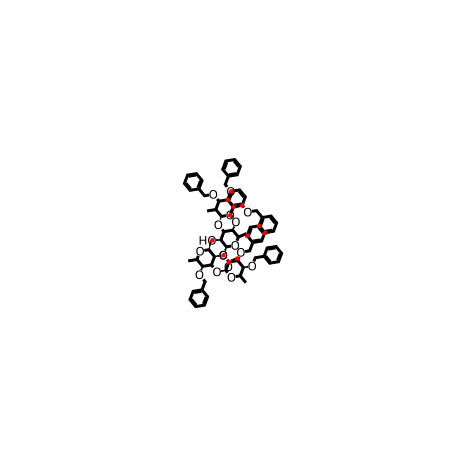 CC(=O)O[C@H]1C(O[C@@H]2OC(C)[C@H](OCc3ccccc3)C(OCc3ccccc3)[C@@H]2O[C@@H]2OC(C)[C@H](OCc3ccccc3)C(O[C@H]3OC(COCc4ccccc4)[C@@H](OCc4ccccc4)C(OCc4ccccc4)C3C)[C@@H]2O)[C@@H](OCc2ccccc2)C(C)O[C@H]1C